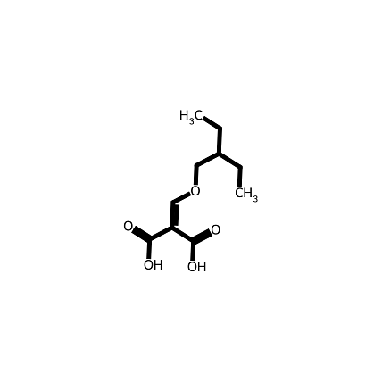 CCC(CC)COC=C(C(=O)O)C(=O)O